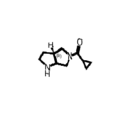 O=C(C1CC1)N1CC2NCC[C@@H]2C1